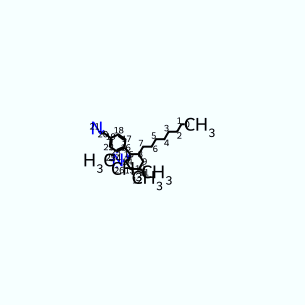 CCCCCCCCC1CC(C)(C)CC2=C1c1ccc(C#N)cc1[N+]2(C)C